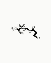 CCC=CC(=O)OCOS(=O)(=O)C(C)N